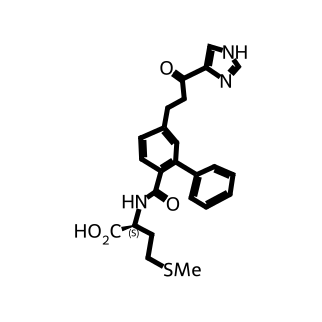 CSCC[C@H](NC(=O)c1ccc(CCC(=O)c2c[nH]cn2)cc1-c1ccccc1)C(=O)O